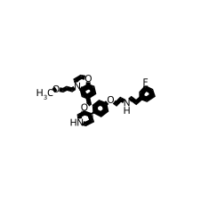 COCCCN1CCOc2ccc(CO[C@H]3CNCC[C@@H]3c3ccc(OCCNCCc4cccc(F)c4)cc3)cc21